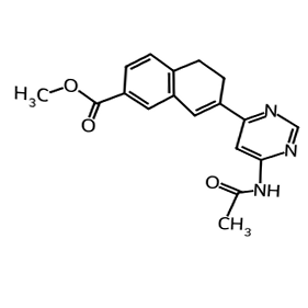 COC(=O)c1ccc2c(c1)C=C(c1cc(NC(C)=O)ncn1)CC2